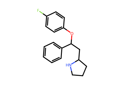 Fc1ccc(OC(CC2CCCN2)c2ccccc2)cc1